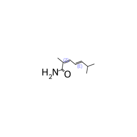 C/C(=C/C=C/C(C)C)C(N)=O